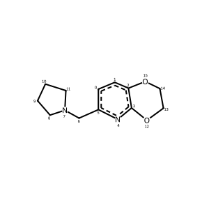 c1cc2c(nc1CN1CCCC1)OCCO2